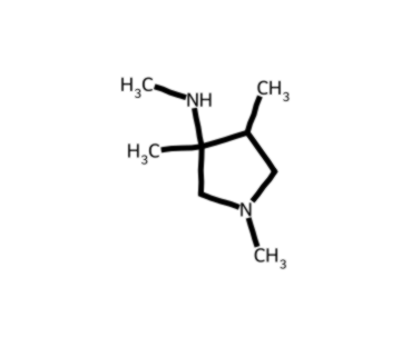 CNC1(C)CN(C)CC1C